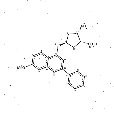 COc1ccc2c(O[C@H]3C[C@H](N)[C@H](C(=O)O)C3)cc(-c3ccccc3)nc2c1